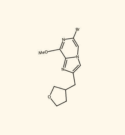 COc1nc(Br)cn2cc(CC3CCOC3)nc12